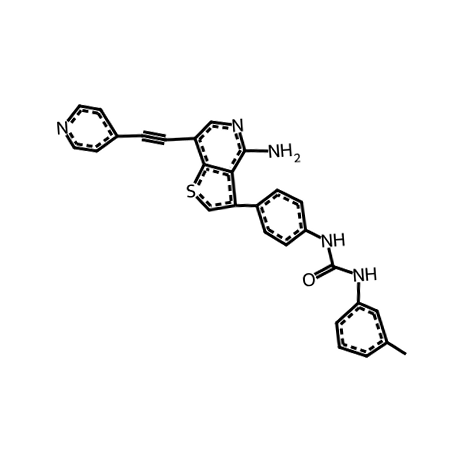 Cc1cccc(NC(=O)Nc2ccc(-c3csc4c(C#Cc5ccncc5)cnc(N)c34)cc2)c1